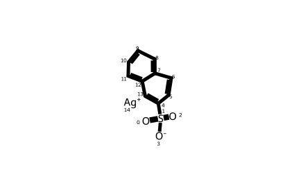 O=S(=O)([O-])c1ccc2ccccc2c1.[Ag+]